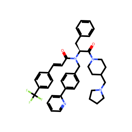 O=C([C@H](Cc1ccccc1)N(Cc1ccc(-c2ccccn2)cc1)C(=O)C=Cc1ccc(C(F)(F)F)cc1)N1CCC(CN2CCCC2)CC1